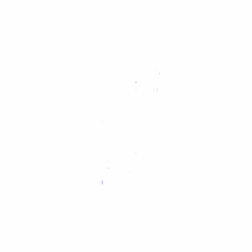 CC(Cc1cccc(-c2ccn[nH]2)c1)C(N)=O